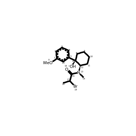 COc1cccc([C@]2(O)CCCC[C@H]2N(C)C(=O)C(C)Br)c1